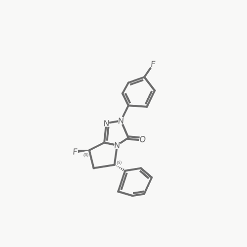 O=c1n(-c2ccc(F)cc2)nc2n1[C@H](c1ccccc1)C[C@H]2F